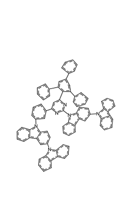 c1ccc(-c2cc(-c3ccccc3)c(-c3cc(-c4cccc(-n5c6ccccc6c6cc(-n7c8ccccc8c8ccccc87)ccc65)c4)nc(-n4c5ccccc5c5cc(-n6c7ccccc7c7ccccc76)ccc54)n3)c(-c3ccccc3)c2)cc1